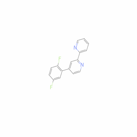 Fc1ccc(F)c(-c2ccnc(-c3ccccn3)c2)c1